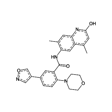 Cc1cc2nc(O)cc(C)c2cc1NC(=O)c1cc(-c2cnoc2)ccc1N1CCOCC1